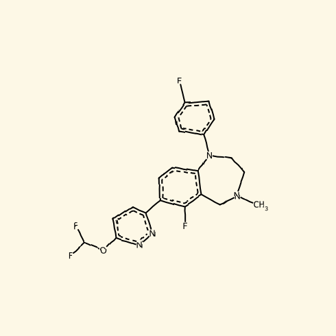 CN1CCN(c2ccc(F)cc2)c2ccc(-c3ccc(OC(F)F)nn3)c(F)c2C1